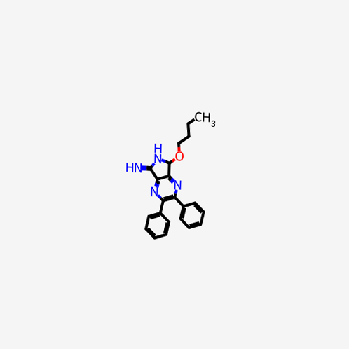 CCCCOC1NC(=N)c2nc(-c3ccccc3)c(-c3ccccc3)nc21